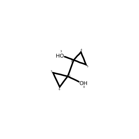 OC1(C2(O)CC2)CC1